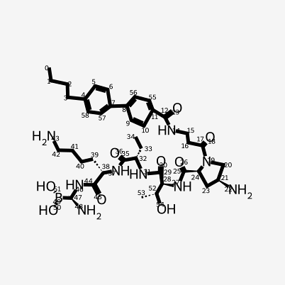 CCCCc1ccc(-c2ccc(C(=O)NCCC(=O)N3C[C@@H](N)C[C@H]3C(=O)N[C@H](C(=O)N[C@@H](CC)C(=O)N[C@@H](CCCCN)C(=O)N[C@@H](N)B(O)O)[C@@H](C)O)cc2)cc1